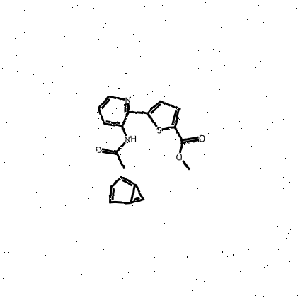 COC(=O)c1ccc(-c2ncccc2NC(C)=O)s1.c1cc2cc-2c1